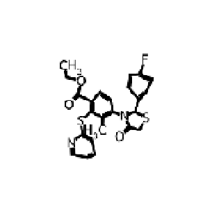 CCOC(=O)c1ccc(N2C(=O)CSC2c2ccc(F)cc2)c(C)c1Sc1ccccn1